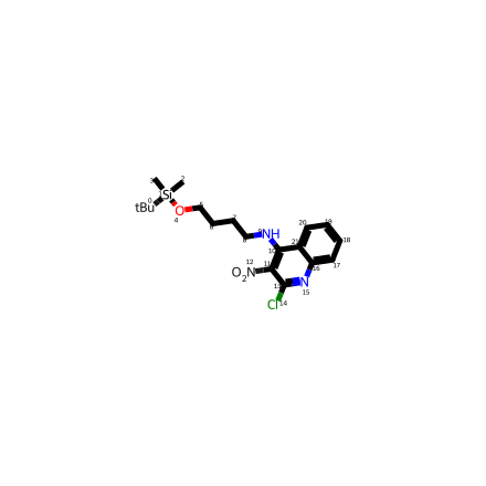 CC(C)(C)[Si](C)(C)OCCCCNc1c([N+](=O)[O-])c(Cl)nc2ccccc12